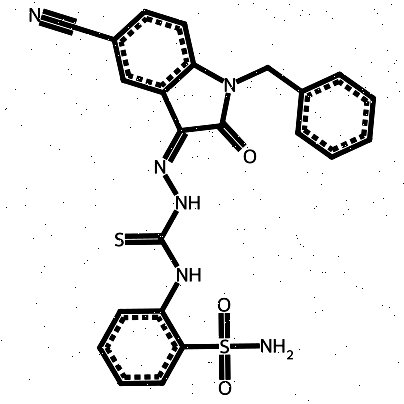 N#Cc1ccc2c(c1)C(=NNC(=S)Nc1ccccc1S(N)(=O)=O)C(=O)N2Cc1ccccc1